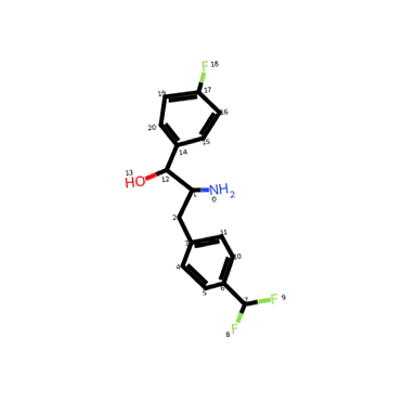 NC(Cc1ccc(C(F)F)cc1)C(O)c1ccc(F)cc1